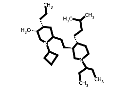 CCC[C@@H]1CC(CC[C@@H]2CN(C(CC)CC)CC[C@H]2CCC(C)C)N(C2CCC2)C[C@@H]1C